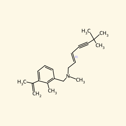 C=C(C)c1cccc(CN(C)C/C=C/C#CC(C)(C)C)c1C